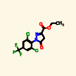 CCOC(=O)C1=NN(c2c(Cl)cc(C(F)(F)F)cc2Cl)C(=O)C1